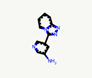 Nc1cncc(-c2nnc3ccccn23)c1